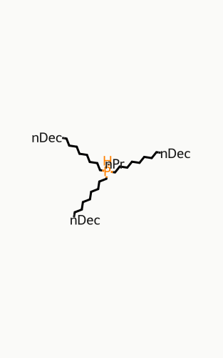 CCCCCCCCCCCCCCCCCC[PH](CCC)(CCCCCCCCCCCCCCCCCC)CCCCCCCCCCCCCCCCCC